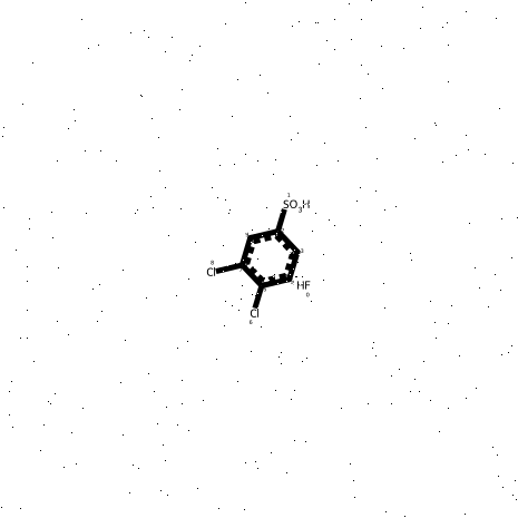 F.O=S(=O)(O)c1ccc(Cl)c(Cl)c1